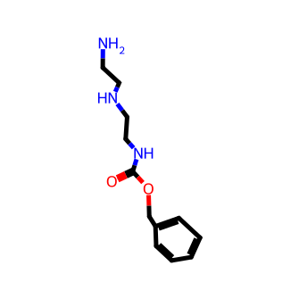 NCCNCCNC(=O)OCc1ccccc1